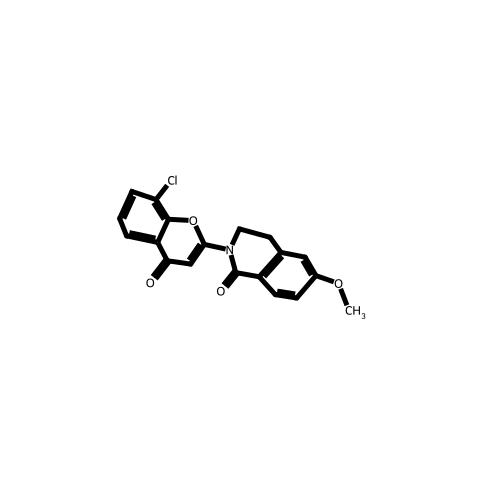 COc1ccc2c(c1)CCN(c1cc(=O)c3cccc(Cl)c3o1)C2=O